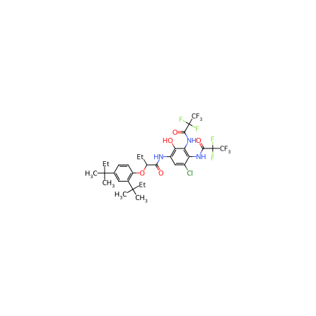 CCC(Oc1ccc(C(C)(C)CC)cc1C(C)(C)CC)C(=O)Nc1cc(Cl)c(NC(=O)C(F)(F)C(F)(F)F)c(NC(=O)C(F)(F)C(F)(F)F)c1O